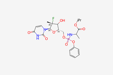 CC(C)OC(=O)C(C)NP(=O)(OC[C@@H]1O[C@@H](n2ccc(=O)[nH]c2=O)[C@](C)(F)C1O)Oc1ccccc1